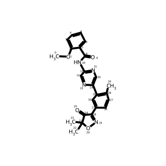 COc1ccccc1C(=O)Nc1cnc(-c2cc(C3=NOC(C)(C)C3=O)ccc2C)cn1